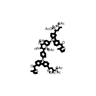 CCCC(/C(=N/OC(C)=O)c1ccc(-n2c3ccc(C(=O)c4sccc4C)cc3c3cc(C(CC(C)N(OC(C)=O)C(C)=O)=NOC(C)=O)ccc32)cc1)/C(=N/OC(C)=O)c1ccc(-n2c3ccc(C(=O)c4sccc4C)cc3c3cc(/C(CC(C)N(OC(C)=O)C(C)=O)=N/OC(C)=O)ccc32)cc1